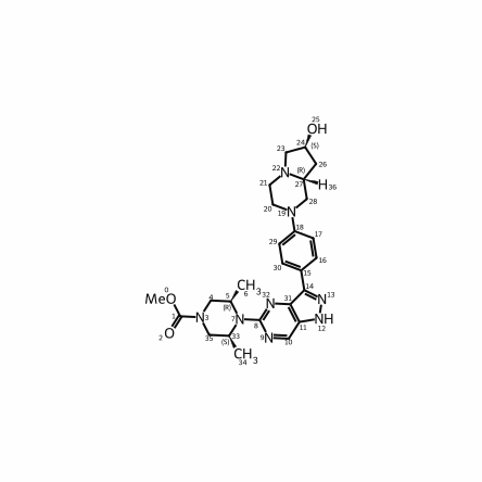 COC(=O)N1C[C@@H](C)N(c2ncc3[nH]nc(-c4ccc(N5CCN6C[C@@H](O)C[C@@H]6C5)cc4)c3n2)[C@@H](C)C1